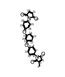 CC1=CC(=O)N(c2ccc(Oc3cccc(Oc4ccc(N5C(=O)C=CC5=O)cc4)c3)cc2)C1=O